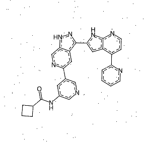 O=C(Nc1cncc(-c2cc3c(-c4cc5c(-c6ccccn6)ccnc5[nH]4)n[nH]c3cn2)c1)C1CCC1